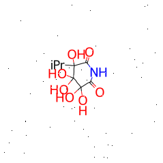 CC(C)C1(O)C(=O)NC(=O)C(O)(O)C1(O)O